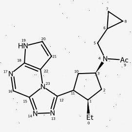 CC[C@@H]1C[C@H](N(CC2CC2)C(C)=O)CC1c1nnc2cnc3[nH]ccc3n12